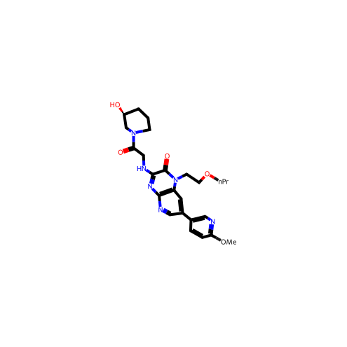 CCCOCCn1c(=O)c(NCC(=O)N2CCC[C@H](O)C2)nc2ncc(-c3ccc(OC)nc3)cc21